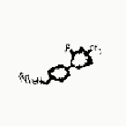 CNCc1ccc(-c2ccc(C(F)(F)F)cc2F)cc1